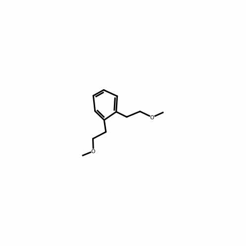 COCCc1ccccc1CCOC